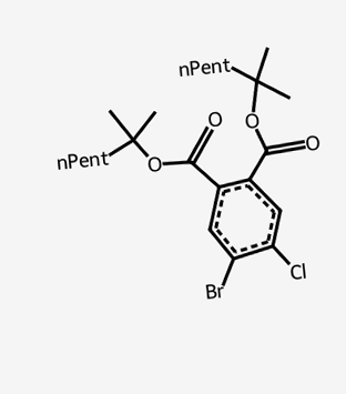 CCCCCC(C)(C)OC(=O)c1cc(Cl)c(Br)cc1C(=O)OC(C)(C)CCCCC